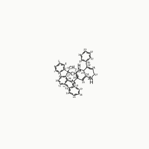 CC1(C)c2ccccc2-c2ccc3c4ccccc4n(C4=CNC5C(=C4)NCC=C5c4ccccc4)c3c21